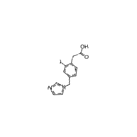 O=C(O)Cc1ccc(Cn2ccnc2)cc1I